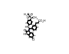 CN(c1ccc(N/C(=C2\C(=O)Nc3cc(Cl)ccc32)c2cccc(CCC(=O)O)c2)cc1)S(C)(=O)=O